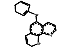 C1=CC(Nc2cc3c(c4ncccc24)NCC=C3)=CCC1